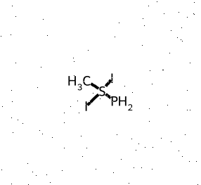 CS(P)(I)I